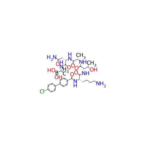 CC(O)[C@H](NC(=O)[C@H](CCCCN)NC(=O)c1ccc(-c2ccc(Cl)cc2)cc1)C(=O)N[C@@H](C)C(=O)N[C@@H](CC(N)=O)C(=O)N[C@@H](C)B(O)O